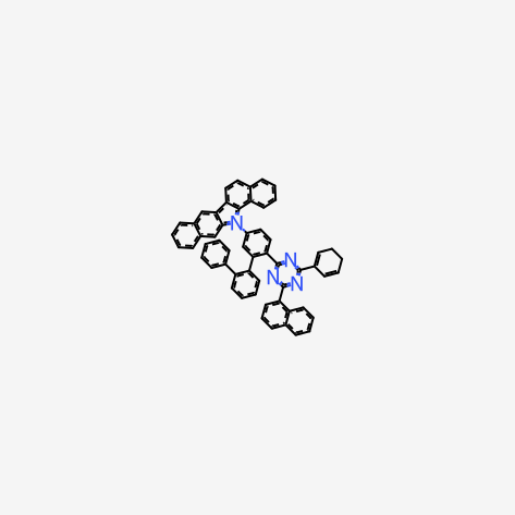 C1=CC(c2nc(-c3ccc(-n4c5cc6ccccc6cc5c5ccc6ccccc6c54)cc3-c3ccccc3-c3ccccc3)nc(-c3cccc4ccccc34)n2)=CCC1